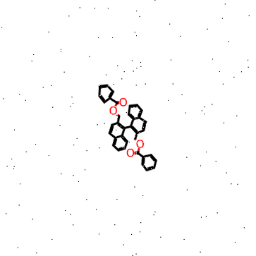 O=C(OCc1ccc2ccccc2c1-c1c(COC(=O)c2ccccc2)ccc2ccccc12)c1ccccc1